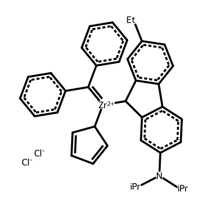 CCc1ccc2c(c1)[CH]([Zr+2](=[C](c1ccccc1)c1ccccc1)[CH]1C=CC=C1)c1cc(N(C(C)C)C(C)C)ccc1-2.[Cl-].[Cl-]